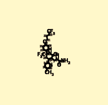 Cc1ccc(C2=C(CNC(N)=O)C(=O)N[C@@](c3ccc(OCCCC(F)(F)F)cc3)(C(F)(F)F)C2)nc1